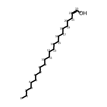 CCCCCCCCCCCCCCCCCCCCCC/C=[C]\O